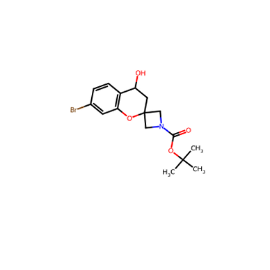 CC(C)(C)OC(=O)N1CC2(CC(O)c3ccc(Br)cc3O2)C1